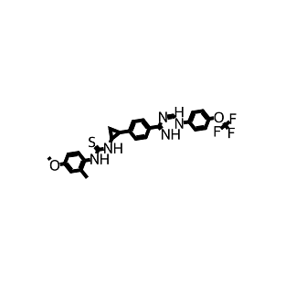 COc1ccc(NC(=S)NC2CC2c2ccc(C(=N)/N=C\Nc3ccc(OC(F)(F)F)cc3)cc2)c(C)c1